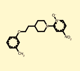 Cc1cccc(OCCC2CCN(c3cc([N+](=O)[O-])cc[n+]3[O-])CC2)c1